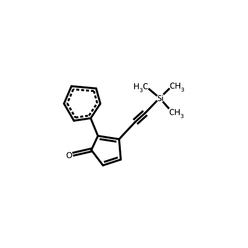 C[Si](C)(C)C#CC1=C(c2ccccc2)C(=O)C=C1